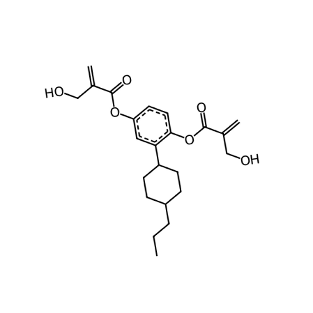 C=C(CO)C(=O)Oc1ccc(OC(=O)C(=C)CO)c(C2CCC(CCC)CC2)c1